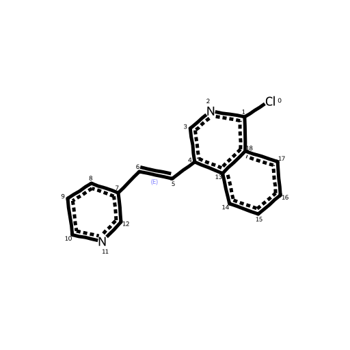 Clc1ncc(/C=C/c2cccnc2)c2ccccc12